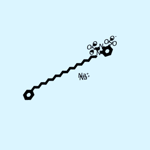 O=S(=O)([O-])c1cccc2c1nc(S(=O)(=O)[O-])n2CCCCCCCCCCCCCCCCCCc1ccccc1.[Na+].[Na+]